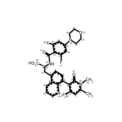 Cc1cc(C(F)(F)F)c(-c2ccc(C[C@H](NC(=O)c3c(F)cc(N4CCOCC4)cc3F)C(=O)O)c3cccnc23)c(=O)n1C